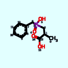 CC(CP(=O)(O)Cc1ccccc1)C(=O)O